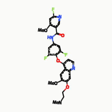 CNCCOc1cc2nccc(Oc3c(F)cc(NC(=O)c4cnc(F)cc4OC)cc3F)c2cc1OC